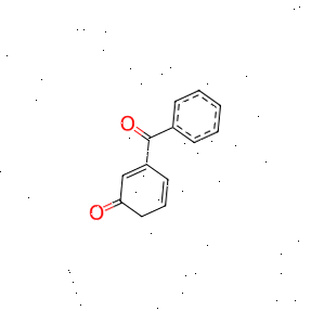 O=C1C=C(C(=O)c2ccccc2)C=CC1